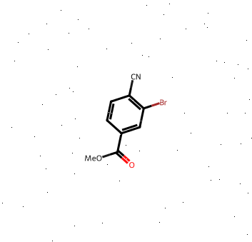 COC(=O)c1ccc(C#N)c(Br)c1